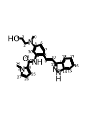 CN(CCO)c1ccc(C=Cc2n[nH]c3ccccc23)c(NC(=O)c2cccn2C)c1